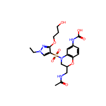 CCn1cc(S(=O)(=O)N2CC(CNC(C)=O)Oc3ccc(NC(=O)O)cc32)c(OCCCO)n1